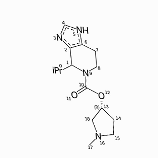 CC(C)C1c2nc[nH]c2CCN1C(=O)O[C@@H]1CCN(C)C1